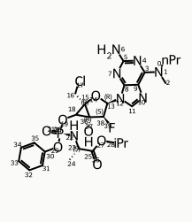 CCCN(C)c1nc(N)nc2c1ncn2[C@@H]1O[C@]2(CCl)C(O[P@](=O)(N[C@@H](C)C(=O)OC(C)C)Oc3ccccc3)[C@]2(O)[C@@H]1F